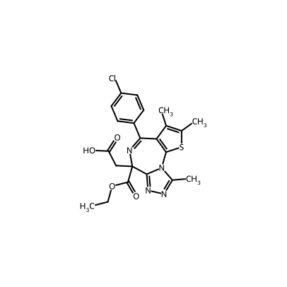 CCOC(=O)C1(CC(=O)O)N=C(c2ccc(Cl)cc2)c2c(sc(C)c2C)-n2c(C)nnc21